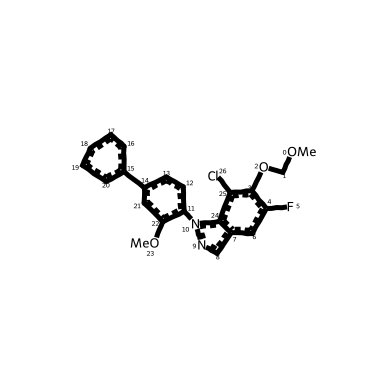 COCOc1c(F)cc2cnn(-c3ccc(-c4ccccc4)cc3OC)c2c1Cl